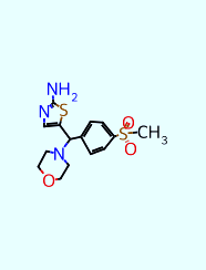 CS(=O)(=O)c1ccc(C(c2cnc(N)s2)N2CCOCC2)cc1